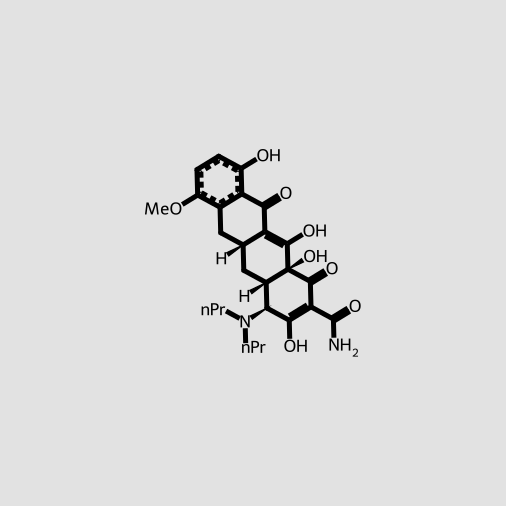 CCCN(CCC)[C@@H]1C(O)=C(C(N)=O)C(=O)[C@@]2(O)C(O)=C3C(=O)c4c(O)ccc(OC)c4C[C@H]3C[C@@H]12